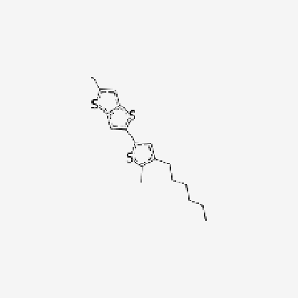 CCCCCCc1cc(-c2cc3sc(C)cc3s2)sc1C